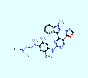 COc1cc(N(C)CCN(C)C)c(N)cc1Nc1ncc(-c2nnco2)c(-c2cn(C)c3ccccc23)n1